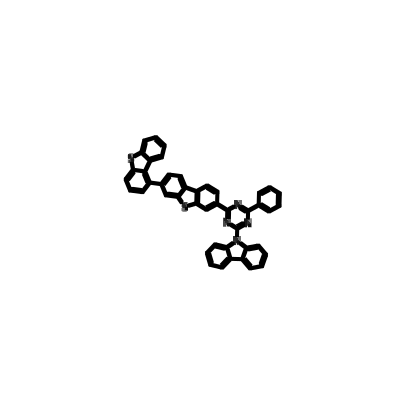 c1ccc(-c2nc(-c3ccc4c(c3)sc3cc(-c5cccc6sc7ccccc7c56)ccc34)nc(-n3c4ccccc4c4ccccc43)n2)cc1